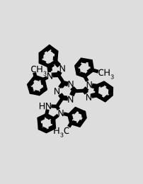 Cc1ccccc1N1c2ccccc2NC1c1nc(-c2nc3ccccc3n2-c2ccccc2C)nc(-c2nc3ccccc3n2-c2ccccc2C)n1